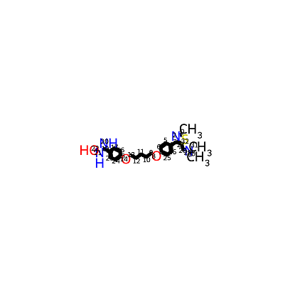 Cc1nc(-c2ccc(OCCCCCOc3ccc(C(=N)NO)cc3)cc2)c(CN(C)C)s1